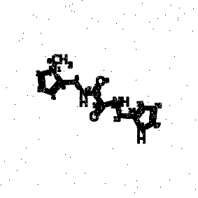 Cn1cccc1CNC(=O)C(=O)NCc1ccc[nH]1